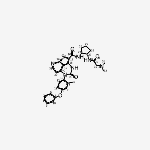 Cc1cc(Oc2ccccc2)ccc1N1C(=O)Nc2c(C(=O)NC3CCC[C@H]3NC(=O)CN(C)C)sc3nccc1c23